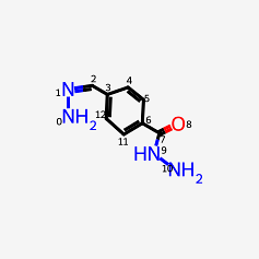 N/N=C\c1ccc(C(=O)NN)cc1